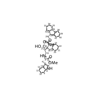 COC(=O)[C@H](Cc1c[nH]c2ccccc12)NCC[C@](Cc1ccccc1)(NC(=O)OCC1c2ccccc2-c2ccccc21)C(=O)O